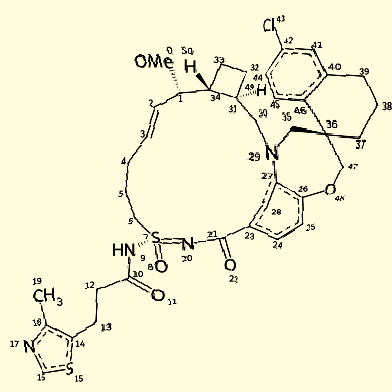 CO[C@H]1/C=C/CCC[S@@](=O)(NC(=O)CCc2scnc2C)=NC(=O)c2ccc3c(c2)N(C[C@@H]2CC[C@H]21)C[C@@]1(CCCc2cc(Cl)ccc21)CO3